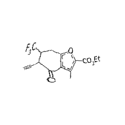 C#CC1C(=O)c2c(oc(C(=O)OCC)c2C)CC1C(F)(F)F